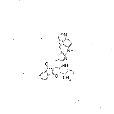 CC(C)CC(CN1C(=O)c2ccccc2C1=O)Nc1nc(Nc2ccc3ncccc3c2)c(C#N)cc1F